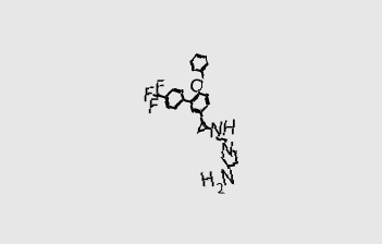 N[C@@H]1CCN(CCNC2CC2c2ccc(OCc3ccccc3)c(-c3ccc(C(F)(F)F)cc3)c2)C1